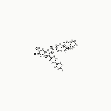 CN1CCN(C2CCN(C(=O)C(Cc3ccc(O)c(Cl)c3)OC(=O)N3CCC(N4CCc5ccccc5NC4=O)CC3)CC2)CC1